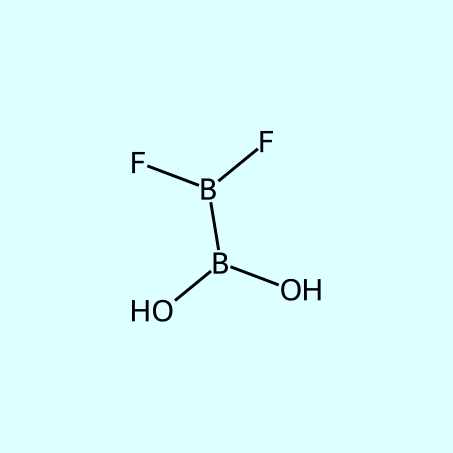 OB(O)B(F)F